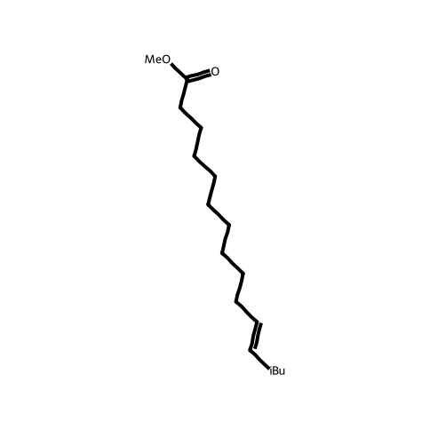 CCC(C)C=CCCCCCCCCCC(=O)OC